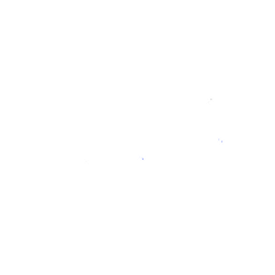 C=C(C)c1cc(-c2coc(-c3ccc(F)cc3)n2)on1